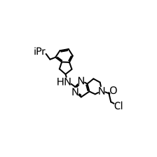 CC(C)Cc1cccc2c1CC(Nc1ncc3c(n1)CCN(C(=O)CCl)C3)C2